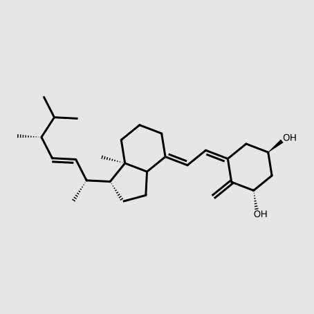 C=C1C(=CC=C2CCC[C@@]3(C)C2CC[C@@H]3[C@H](C)C=C[C@H](C)C(C)C)C[C@@H](O)C[C@@H]1O